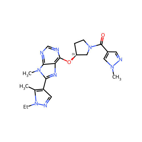 CCn1ncc(-c2nc3c(O[C@H]4CCN(C(=O)c5cnn(C)c5)C4)ncnc3n2C)c1C